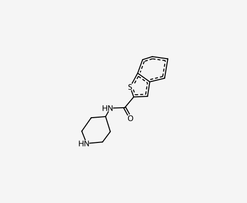 O=C(NC1CCNCC1)c1cc2ccccc2s1